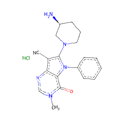 Cl.Cn1cnc2c(C#N)c(N3CCC[C@H](N)C3)n(-c3ccccc3)c2c1=O